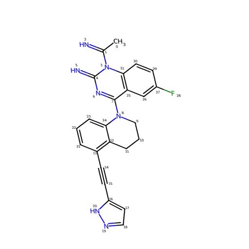 CC(=N)n1c(=N)nc(N2CCCc3c(C#Cc4ccn[nH]4)cccc32)c2cc(F)ccc21